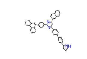 c1c[nH]c(-c2ccc(-c3ccc(-c4cc(-c5ccc6ccccc6c5)nc(-c5ccc(-c6cc7ccccc7c7ccccc67)cc5)n4)cc3)cc2)c1